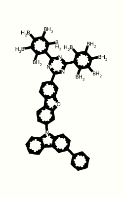 Bc1c(B)c(B)c(-c2nc(-c3ccc4c(c3)oc3cc(-n5c6ccccc6c6cc(-c7ccccc7)ccc65)ccc34)nc(-c3c(B)c(B)c(B)c(B)c3B)n2)c(B)c1B